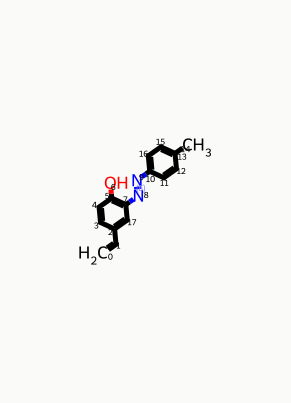 C=Cc1ccc(O)c(/N=N/c2ccc(C)cc2)c1